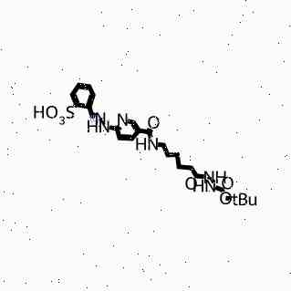 CC(C)(C)OC(=O)NNC(=O)CCCCCNC(=O)c1ccc(N/N=C/c2ccccc2S(=O)(=O)O)nc1